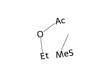 CCOC(C)=O.CSC